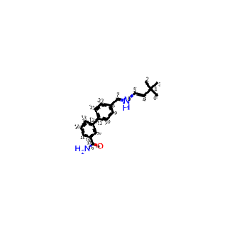 CC(C)(C)CCNCc1ccc(-c2cccc(C(N)=O)c2)cc1